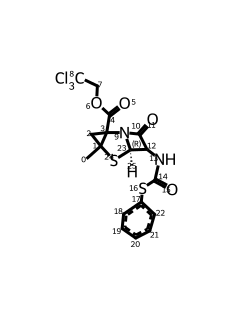 CC12CC1(C(=O)OCC(Cl)(Cl)Cl)N1C(=O)C(NC(=O)Sc3ccccc3)[C@H]1S2